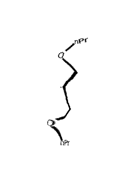 CCCOC[CH]COCCC